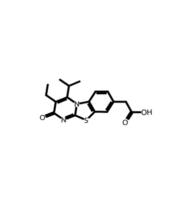 CCc1c(C(C)C)n2c(nc1=O)sc1cc(CC(=O)O)ccc12